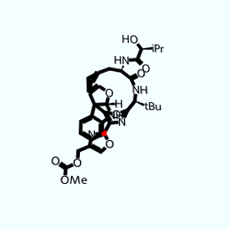 COC(=O)OCc1coc(-c2nc3oc2C24c5ccccc5N[C@H]2Oc2ccc(cc24)C[C@H](NC(=O)[C@@H](O)C(C)C)C(=O)N[C@H]3C(C)(C)C)n1